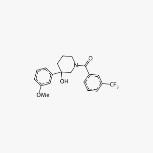 COc1cccc(C2(O)CCCN(C(=O)c3cccc(C(F)(F)F)c3)C2)c1